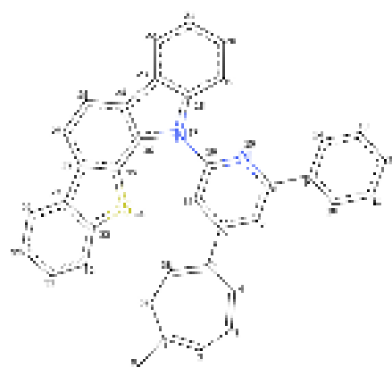 CC1=CC=CC(c2cc(-c3ccccc3)nc(-n3c4ccccc4c4ccc5c6ccccc6sc5c43)c2)=CC1